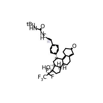 CC(C)(C)NC(=O)NC/C=C/c1ccc([C@H]2C[C@@]3(C)[C@@H](CC[C@@]3(O)C(F)(F)C(F)(F)F)[C@@H]3CCC4=CC(=O)CCC4=C32)cc1